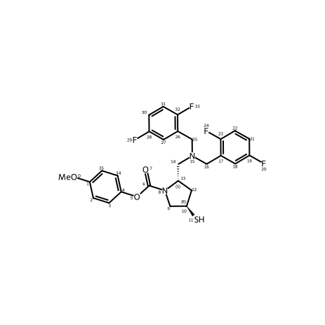 COc1ccc(OC(=O)N2C[C@H](S)C[C@H]2CN(Cc2cc(F)ccc2F)Cc2cc(F)ccc2F)cc1